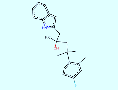 Cc1cc(F)ccc1C(C)(C)CC(O)(Cc1cc2ccccc2[nH]1)C(F)(F)F